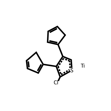 Clc1scc(C2=CC=CC2)c1C1=CC=CC1.[Ti]